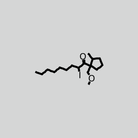 CCCCCCCC(I)C(=O)C1(COC)CCCC1C